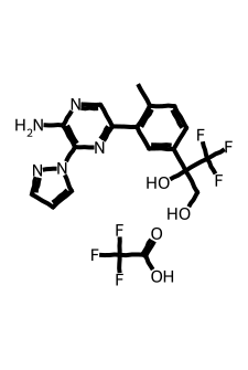 Cc1ccc(C(O)(CO)C(F)(F)F)cc1-c1cnc(N)c(-n2cccn2)n1.O=C(O)C(F)(F)F